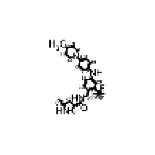 CC1CCN(c2ccc(Nc3ccc(CNC(=O)C4CNC(=O)C4)c(C(F)(F)F)c3)cc2)CC1